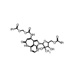 CC(C)C(=O)OCOC(=O)NC1=CC(=O)Nc2ncnc3c2c1cn3C1OC(COC(=O)C(C)C)C(O)C1(C)O